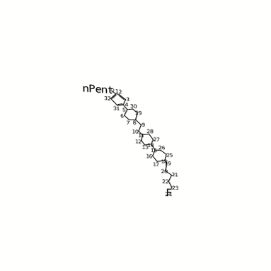 CCCCCc1ccc(C2CCC(CCC3CCC(C4CCC(CCCCCF)CC4)CC3)CC2)cc1